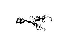 COC(=O)C(N)CCN(C)CCCCc1ccc2c(n1)NCCC2